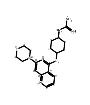 N=C(N)NC1CCC(Oc2nc(N3CCOCC3)cc3ncccc23)CC1